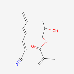 C=C(C)C(=O)OCC(C)O.C=CC=CC=CC#N